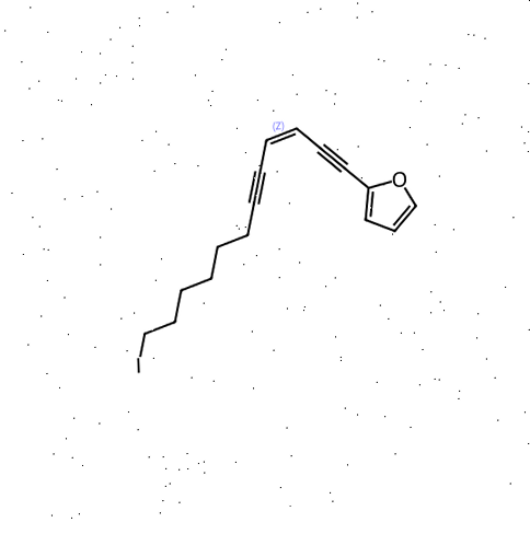 ICCCCCCC#C/C=C\C#Cc1ccco1